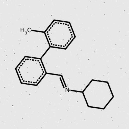 Cc1ccccc1-c1ccccc1C=NC1CCCCC1